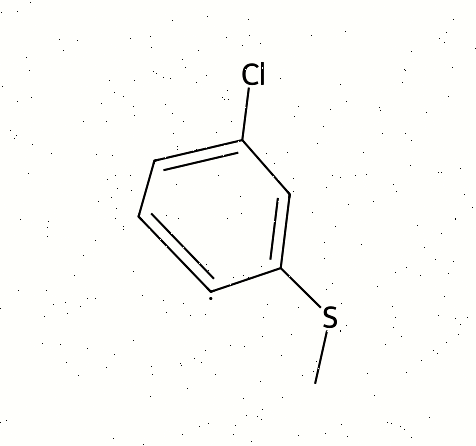 CSc1[c]ccc(Cl)c1